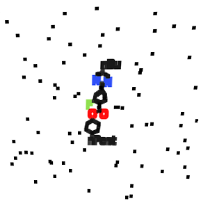 CCCCC[C@H]1CC[C@H](OC(=O)c2ccc(-c3ncc(CCCC)cn3)cc2F)CC1